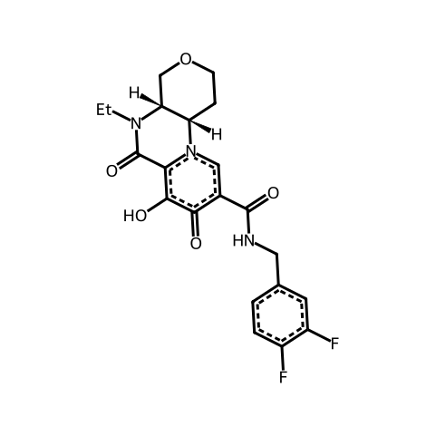 CCN1C(=O)c2c(O)c(=O)c(C(=O)NCc3ccc(F)c(F)c3)cn2[C@H]2CCOC[C@H]21